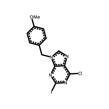 COc1ccc(Cn2cnc3c(Cl)nc(I)nc32)cc1